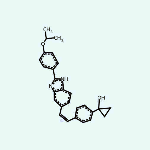 CC(C)Oc1ccc(-c2nc3cc(/C=C\c4ccc(C5(O)CC5)cc4)ccc3[nH]2)cc1